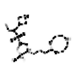 CCN(C1CNC1)S(=O)(=O)N1C[C@H](CCCB2OCCNCCO2)[C@@](C)(N)C1